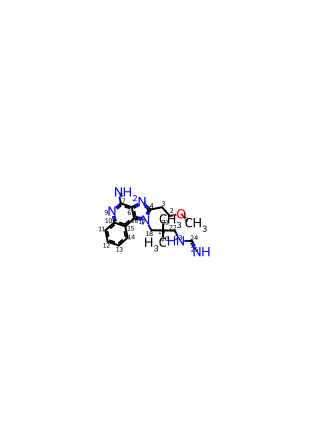 COCCc1nc2c(N)nc3ccccc3c2n1CC(C)(C)CNC=N